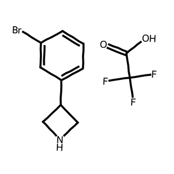 Brc1cccc(C2CNC2)c1.O=C(O)C(F)(F)F